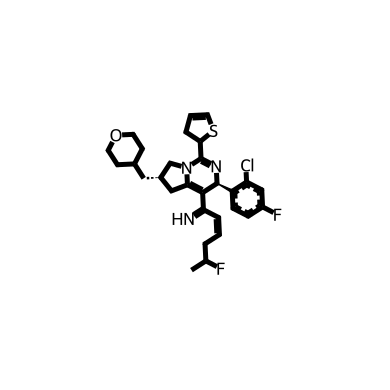 CC(F)C/C=C\C(=N)C1=C2C[C@H](CC3CCOCC3)CN2C(C2CC=CS2)=N[C@H]1c1ccc(F)cc1Cl